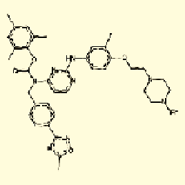 Cc1cc(C)c(OC(=O)N(Cc2ccc(-c3noc(C)n3)cc2)c2ccnc(Nc3ccc(OCCN4CCN(C(C)C)CC4)c(F)c3)n2)c(C)c1